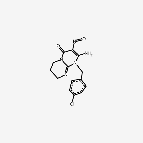 NC1=C(N=O)C(=O)N2CCCN=C2N1Cc1ccc(Cl)cc1